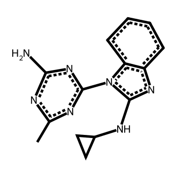 Cc1nc(N)nc(-n2c(NC3CC3)nc3ccccc32)n1